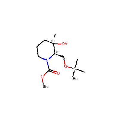 CC(C)(C)OC(=O)N1CCC[C@@](C)(O)[C@H]1CO[Si](C)(C)C(C)(C)C